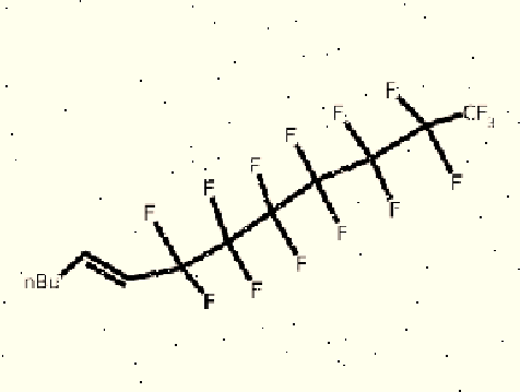 [CH2]CCCC=CC(F)(F)C(F)(F)C(F)(F)C(F)(F)C(F)(F)C(F)(F)C(F)(F)F